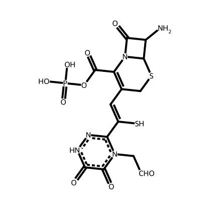 NC1C(=O)N2C(C(=O)OP(=O)(O)O)=C(C=C(S)c3n[nH]c(=O)c(=O)n3CC=O)CSC12